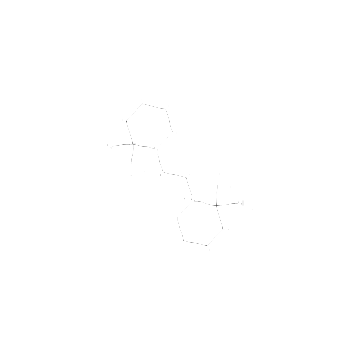 CC1(N)CCCCN1CCN1CCCCC1(C)N